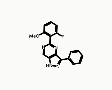 COc1cccc(F)c1-c1ncc2[nH]nc(-c3ccccc3)c2n1